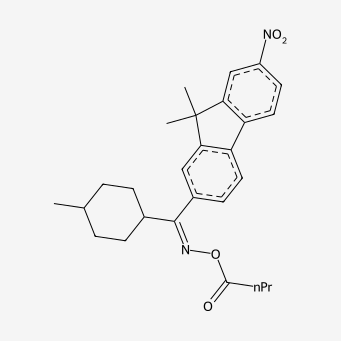 CCCC(=O)O/N=C(\c1ccc2c(c1)C(C)(C)c1cc([N+](=O)[O-])ccc1-2)C1CCC(C)CC1